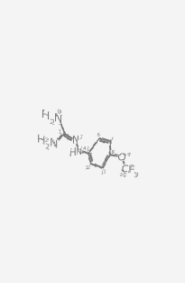 NC(N)=NNc1ccc(OC(F)(F)F)cc1